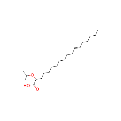 CCCCCC=CCCCCCCCCCC(OC(C)C)C(=O)O